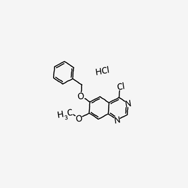 COc1cc2ncnc(Cl)c2cc1OCc1ccccc1.Cl